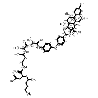 CCCCC(C)SC(CC(=O)O)C(=O)NCCC(=O)N[C@@H](C)C(=O)N[C@@H](C)C(=O)Nc1ccc(Oc2ccc([C@@H]3O[C@@H]4C[C@H]5[C@@H]6C[C@H](F)C7=CC(=O)C=C[C@]7(C)[C@@]6(F)[C@@H](O)C[C@]5(C)[C@]4(C(=O)CO)O3)cc2)cc1